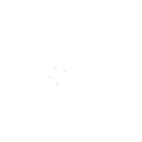 Cc1cc(O)cc2nnnn12